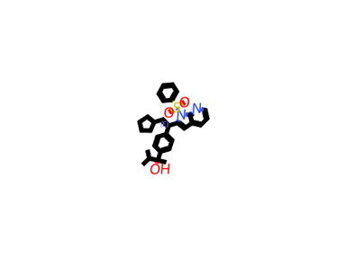 CC(C)C(C)(O)c1ccc(/C(=C\C2CCCC2)c2cc3cccnc3n2S(=O)(=O)c2ccccc2)cc1